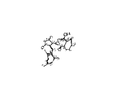 Cc1ccc(C=C2C(=O)CC(C)C2OC(=O)C2CCCCC2C(=O)O)c(C)c1